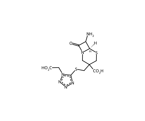 NC1C(=O)N2CC(CSc3nnnn3CC(=O)O)(C(=O)O)CS[C@H]12